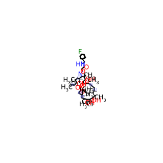 C/C=C/C(O)C(C)/C=C/C(=N/OCC(=O)NCc1ccc(F)cc1)C(C)C(O)C(C)C1OC(=O)/C(OC)=C/C(C)=C/C(C)C(O)C(CC)C(O)C(C)C/C(C)=C/C=C/C1OC